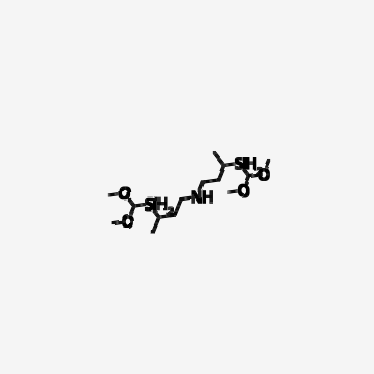 COC(OC)[SiH2]C(C)CCNCCC(C)[SiH2]C(OC)OC